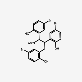 CNC(c1cc(Br)ccc1O)C(Cc1cc(Br)ccc1O)c1cc(Br)ccc1O